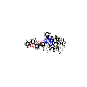 Bc1c(B)c(B)c2c(c1B)c1c(B)c(B)c(B)c(B)c1n2-c1nc(-c2ccccc2)nc(-c2ccc3c(c2)oc2c(-c4cccc5c4oc4ccccc45)cccc23)n1